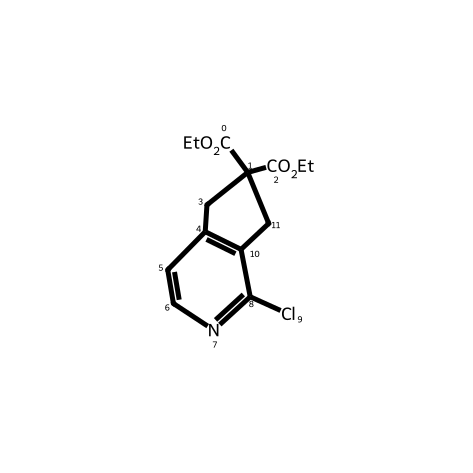 CCOC(=O)C1(C(=O)OCC)Cc2ccnc(Cl)c2C1